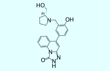 O=c1[nH]nc2cc(-c3ccc(O)c(CN4CCC[C@@H]4CO)c3)c3ccccc3n12